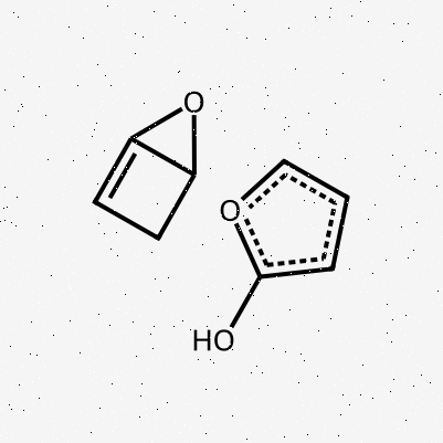 C1=C2OC2C1.Oc1ccco1